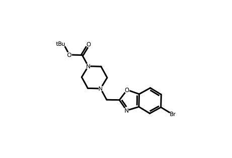 CC(C)(C)OC(=O)N1CCN(Cc2nc3cc(Br)ccc3o2)CC1